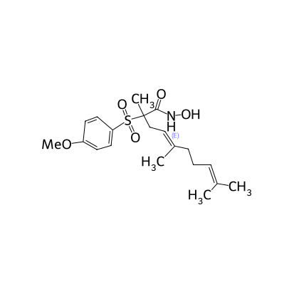 COc1ccc(S(=O)(=O)C(C)(C/C=C(\C)CCC=C(C)C)C(=O)NO)cc1